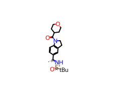 C[C@@H](N[S@+]([O-])C(C)(C)C)c1ccc2c(c1)CCN2C(=O)C1CCOCC1